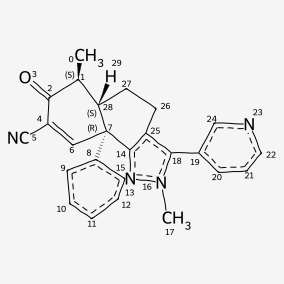 C[C@@H]1C(=O)C(C#N)=C[C@]2(c3ccccc3)c3nn(C)c(-c4cccnc4)c3CC[C@@H]12